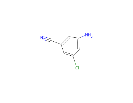 N#Cc1cc(N)cc(Cl)c1